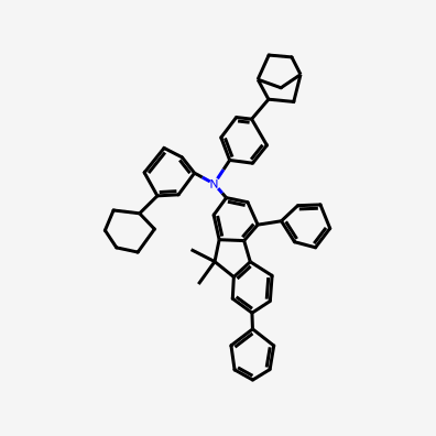 CC1(C)c2cc(-c3ccccc3)ccc2-c2c(-c3ccccc3)cc(N(c3ccc(C4CC5CCC4C5)cc3)c3cccc(C4CCCCC4)c3)cc21